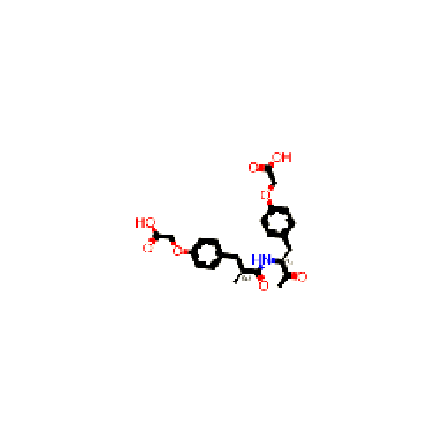 CC(=O)[C@H](Cc1ccc(OCC(=O)O)cc1)NC(=O)[C@@H](C)Cc1ccc(OCC(=O)O)cc1